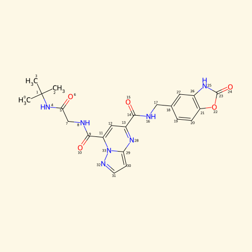 CC(C)(C)NC(=O)CNC(=O)c1cc(C(=O)NCc2ccc3oc(=O)[nH]c3c2)nc2ccnn12